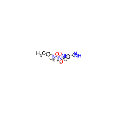 Cc1ccc2c(c1)CC[C@@H](C(F)(F)F)N(C(=O)CN1C(=O)N[C@]3(CCc4cc(-c5cn[nH]c5)ccc43)C1=O)C2